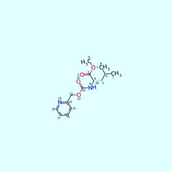 COC(=O)[C@H](CC(C)C)NC(=O)OCc1ccccn1